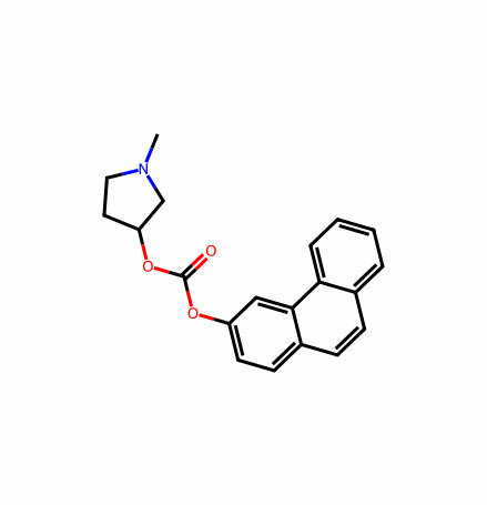 CN1CCC(OC(=O)Oc2ccc3ccc4ccccc4c3c2)C1